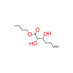 C=CCCC(O)C(O)C(=O)OCCCC